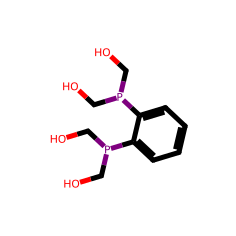 OCP(CO)c1ccccc1P(CO)CO